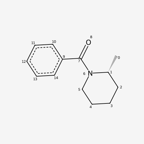 C[C@@H]1CCCCN1C(=O)c1ccccc1